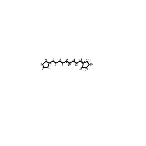 [CH](CCCCC1CCCC1)CCCCC1CCCC1